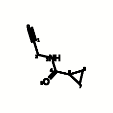 C#CCNC(=O)C1CC1